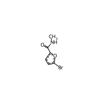 CNC(=O)c1ccc(Br)o1